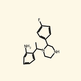 CC(c1ccccc1N)N1CCNCC1c1ccc(F)cc1